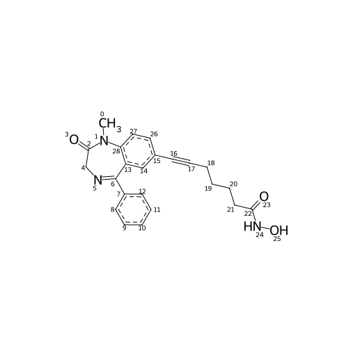 CN1C(=O)CN=C(c2ccccc2)c2cc(C#CCCCCC(=O)NO)ccc21